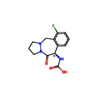 O=C(O)N[C@H]1C(=O)N2CCCN2Cc2c(F)cccc21